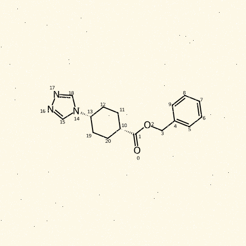 O=C(OCc1ccccc1)[C@H]1CC[C@@H](n2cnnc2)CC1